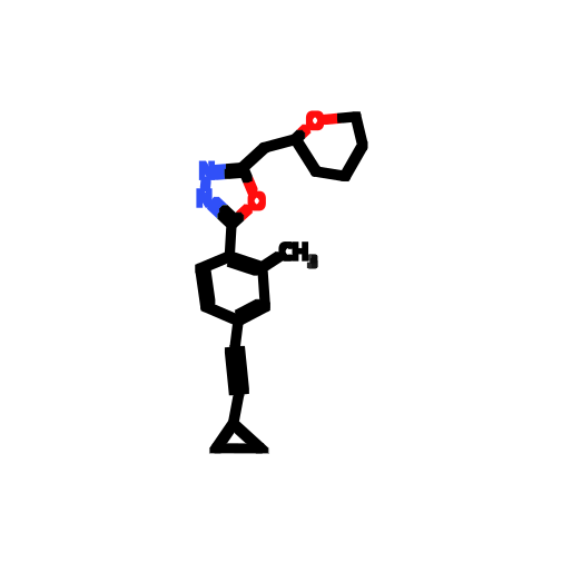 Cc1cc(C#CC2CC2)ccc1-c1nnc(CC2CCCCO2)o1